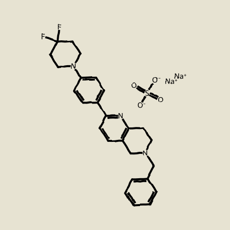 FC1(F)CCN(c2ccc(-c3ccc4c(n3)CCN(Cc3ccccc3)C4)cc2)CC1.O=S(=O)([O-])[O-].[Na+].[Na+]